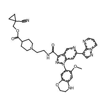 COc1cc2c(cc1-n1nc(C(=O)NCCN3CCC(C(=O)OCC4(C#N)CC4)CC3)c3cnc(-c4cnn5cccnc45)cc31)OCCN2